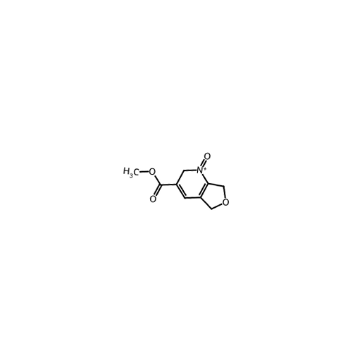 COC(=O)C1=CC2=C(COC2)[N+](=O)C1